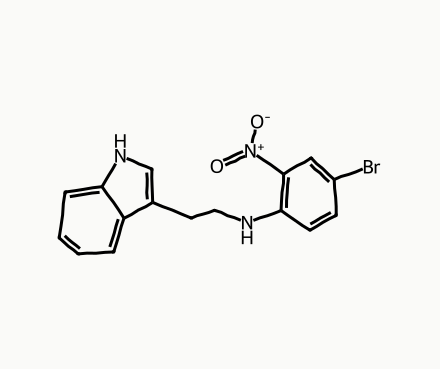 O=[N+]([O-])c1cc(Br)ccc1NCCc1c[nH]c2ccccc12